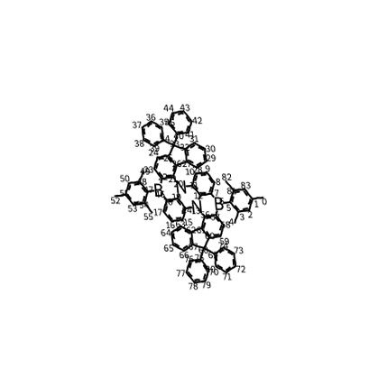 Cc1cc(C)c(B2c3cccc4c3N(c3cccc5c3N4c3c(ccc4c3-c3ccccc3C4(c3ccccc3)c3ccccc3)B5c3c(C)cc(C)cc3C)c3c2ccc2c3-c3ccccc3C2(c2ccccc2)c2ccccc2)c(C)c1